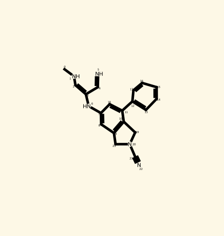 CN/C=C(\C=N)Nc1cc2c(c(-c3ccccc3)c1)CN(C#N)C2